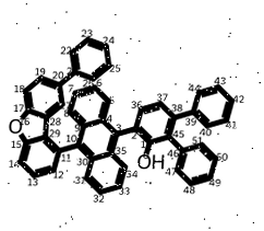 Oc1c(-c2c3ccccc3c(-c3cccc4oc5ccc(-c6ccccc6)cc5c34)c3ccccc23)ccc(-c2ccccc2)c1-c1ccccc1